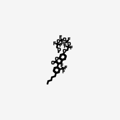 CCCCCc1ccc(-c2cc3ccc(OCC(F)(F)OC(F)(F)OC(F)(F)OC(F)(F)COC)cc3oc2=O)c(C(F)(F)F)c1